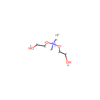 C[N+](C)(OCCO)OCCO.[F-]